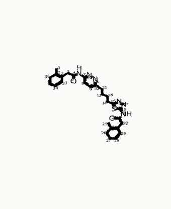 CC1=C(CC(=O)Nc2ccc(CCCCc3nnc(NC(=O)CC4=C(C)CCC=C4)s3)nn2)C=CCC1